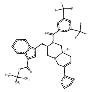 CC(C)(C)OC(=O)n1cc(C[C@@H]2CN3CC(c4nccs4)=CC[C@@H]3CN2C(=O)c2cc(C(F)(F)F)cc(C(F)(F)F)c2)c2ccccc21